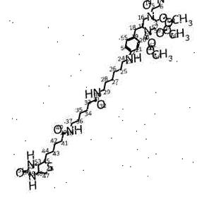 COOCN(CCN(CC(=O)O)CC(=O)O)CC(Cc1ccc(NCCCCCCNC(=O)CCCCCNC(=O)CCCCC2SCC3NC(=O)NC32)cc1)N(COOC)COOC